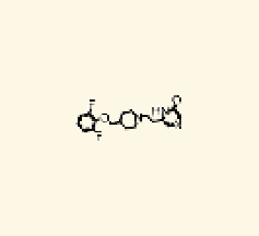 O=c1cncc(CCN2CCC(COc3c(F)cccc3F)CC2)[nH]1